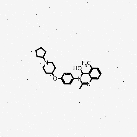 CC1=Nc2cccc(C(F)(F)F)c2C(O)N1c1ccc(OC2CCN(C3CCCC3)CC2)cc1